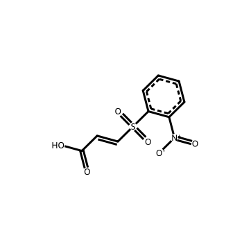 O=C(O)C=CS(=O)(=O)c1ccccc1[N+](=O)[O-]